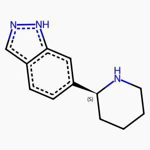 c1cc2cn[nH]c2cc1[C@@H]1CCCCN1